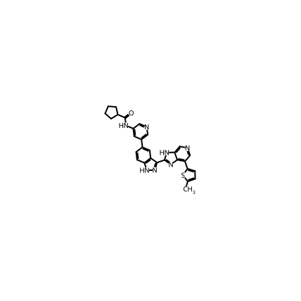 Cc1ccc(-c2cncc3[nH]c(-c4n[nH]c5ccc(-c6cncc(NC(=O)C7CCCC7)c6)cc45)nc23)s1